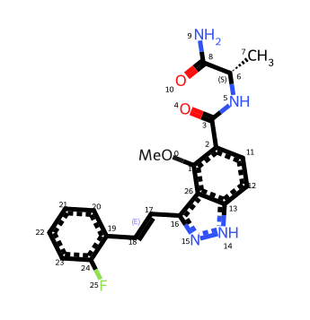 COc1c(C(=O)N[C@@H](C)C(N)=O)ccc2[nH]nc(/C=C/c3ccccc3F)c12